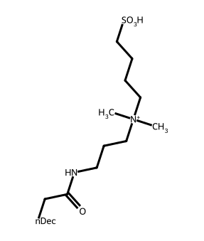 CCCCCCCCCCCC(=O)NCCC[N+](C)(C)CCCCS(=O)(=O)O